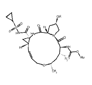 C[C@@H]1C[C@H](C)OC/C=C\[C@@H]2C[C@@]2(C(=O)NS(=O)(=O)C2CC2)NC(=O)[C@@H]2C[C@@H](O)CN2C(=O)[C@H]1NC(=O)OC(C)(C)C